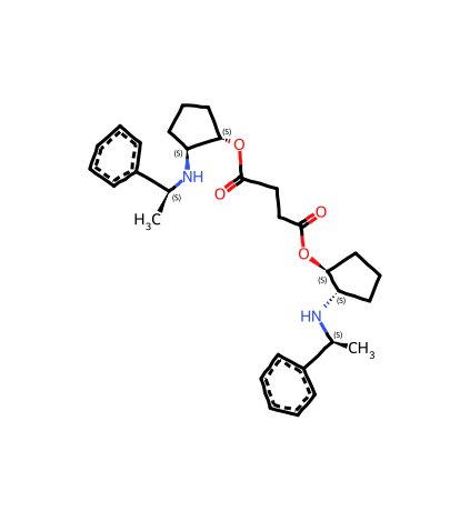 C[C@H](N[C@H]1CCC[C@@H]1OC(=O)CCC(=O)O[C@H]1CCC[C@@H]1N[C@@H](C)c1ccccc1)c1ccccc1